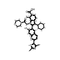 Cc1nc(C)c(-c2ccc3cc(-c4c(C5CCCCC5)c5ccc(C(=O)O)c(C)c5n4CC(=O)N4CCOCC4)c(F)cc3n2)s1